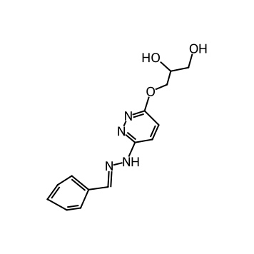 OCC(O)COc1ccc(NN=Cc2ccccc2)nn1